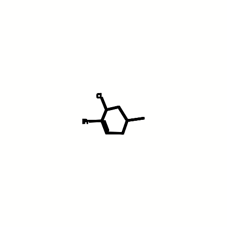 CC1CC=C(C(C)C)C(Cl)C1